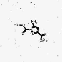 COC(=O)c1cc(N)n(C(=O)OC(C)(C)C)n1